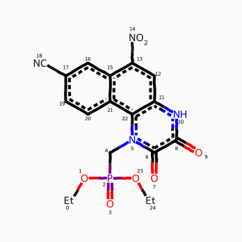 CCOP(=O)(Cn1c(=O)c(=O)[nH]c2cc([N+](=O)[O-])c3cc(C#N)ccc3c21)OCC